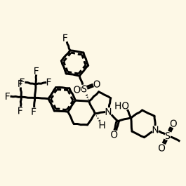 CS(=O)(=O)N1CCC(O)(C(=O)N2CC[C@]3(S(=O)(=O)c4ccc(F)cc4)c4ccc(C(F)(C(F)(F)F)C(F)(F)F)cc4CC[C@H]23)CC1